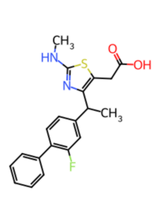 CNc1nc(C(C)c2ccc(-c3ccccc3)c(F)c2)c(CC(=O)O)s1